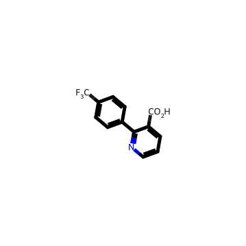 O=C(O)c1cccnc1-c1ccc(C(F)(F)F)cc1